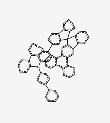 c1ccc(-c2ccc(N(c3ccc(-c4ccc5c(c4)C4(c6ccccc6-5)c5ccccc5-c5cc6c7ccccc7c7ccccc7c6cc54)cc3)c3ccccc3-c3ccccc3)cc2)cc1